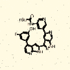 CCCCC(=O)Nc1cncc(-c2cc3c(-c4cc5c(-c6cc(O)cc(F)c6)ccnc5[nH]4)n[nH]c3cn2)c1